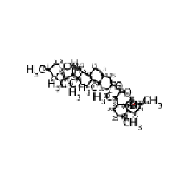 CC1CC[C@]2(OC1)O[C@H]1CC3C4CC=C5C[C@@H](OC6OC7O[C@]8(C)CCC9[C@H](C)CCC([C@H]6C)[C@@]79OO8)CC[C@]5(C)C4CC[C@]3(C)[C@H]1[C@@H]2C